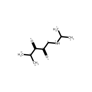 CC(C)NCC(=O)C(=O)C(C)C